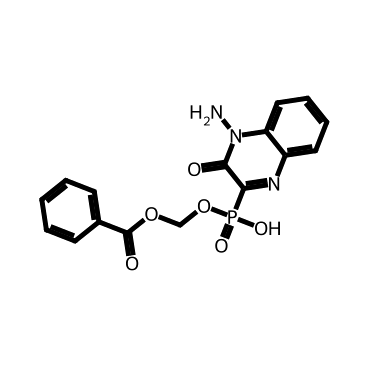 Nn1c(=O)c(P(=O)(O)OCOC(=O)c2ccccc2)nc2ccccc21